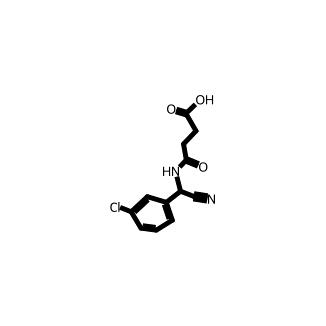 N#CC(NC(=O)CCC(=O)O)c1cccc(Cl)c1